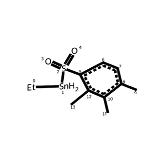 C[CH2][SnH2][S](=O)(=O)c1ccc(C)c(C)c1C